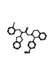 COc1ccc(C2c3ccccc3CCN2CC(=O)N(Cc2ccccc2F)C2Cc3ccccc3C2)cc1